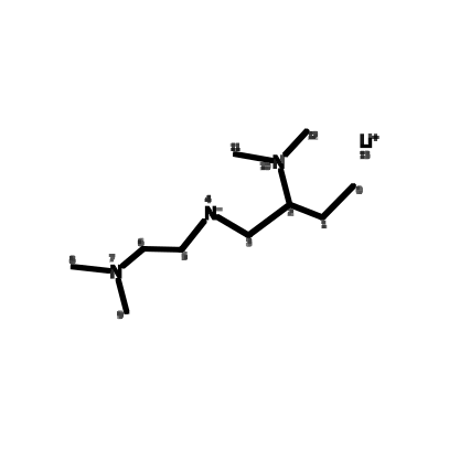 CCC(C[N-]CCN(C)C)N(C)C.[Li+]